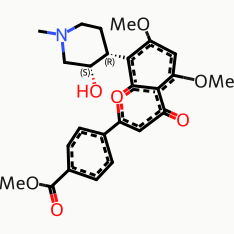 COC(=O)c1ccc(-c2cc(=O)c3c(OC)cc(OC)c([C@H]4CCN(C)C[C@H]4O)c3o2)cc1